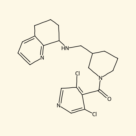 O=C(c1c(Cl)cncc1Cl)N1CCCC(CNC2CCCc3cccnc32)C1